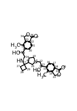 Cc1c([C@@H](O)CNC2(C3CCN(C[C@H](O)c4ccc5c(c4C)COC5=O)C3)CCC2)ccc2c1COC2=O